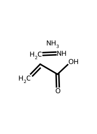 C=CC(=O)O.C=N.N